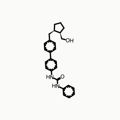 O=C(Nc1ccccc1)Nc1ccc(-c2ccc(C[C@H]3CCC[C@H]3CO)cc2)cc1